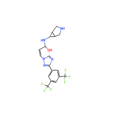 OC(/C=C\n1cnc(-c2cc(C(F)(F)F)cc(C(F)(F)F)c2)n1)NC1C2CNCC21